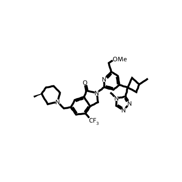 COCc1cc(C2(c3nncn3C)CC(C)C2)cc(N2Cc3c(cc(CN4CCC[C@H](C)C4)cc3C(F)(F)F)C2=O)n1